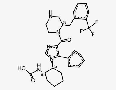 O=C(O)N[C@H]1CCCC[C@@H]1n1cnc(C(=O)N2CCNC[C@H]2Cc2ccccc2C(F)(F)F)c1-c1ccccc1